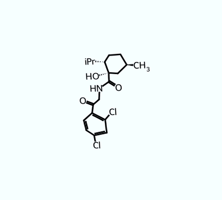 CC(C)[C@@H]1CC[C@@H](C)C[C@@]1(O)C(=O)NCC(=O)c1ccc(Cl)cc1Cl